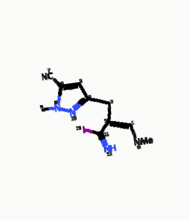 CN/C=C(/Cc1cc(C#N)n(C)n1)C(=N)I